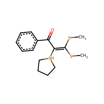 CSC(SC)=C(C(=O)c1ccccc1)[SH]1CCCC1